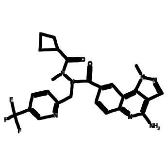 CN(C(=O)C1CCC1)N(Cc1ccc(C(F)(F)F)cn1)C(=O)c1ccc2nc(N)c3cnn(C)c3c2c1